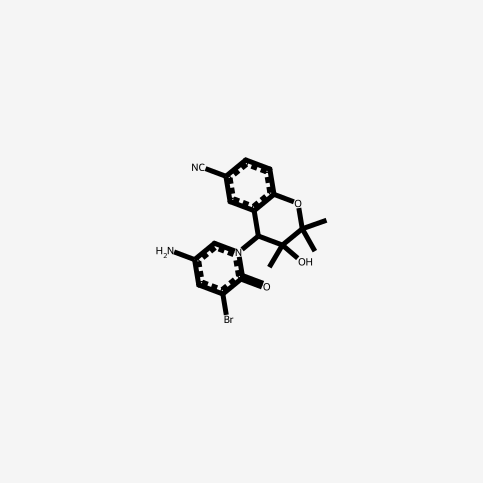 CC1(C)Oc2ccc(C#N)cc2C(n2cc(N)cc(Br)c2=O)C1(C)O